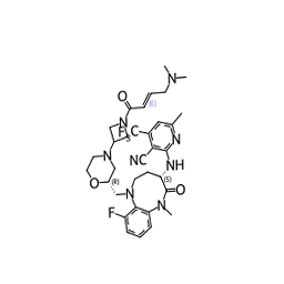 Cc1cc(C(F)(F)F)c(C#N)c(N[C@H]2CCN(C[C@H]3CN(C4CN(C(=O)/C=C/CN(C)C)C4)CCO3)c3c(F)cccc3N(C)C2=O)n1